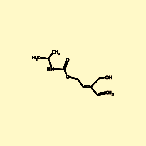 C=C/C(=C/COC(=O)NC(C)C)CO